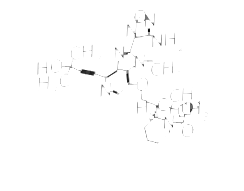 CCn1c(-c2nonc2N)nc2c(C#CC(C)(C)O)ncc(OCC[C@@H]3CCCC[N+]3(C(=O)[O-])C(C)(C)C)c21